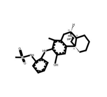 Cc1c2c(cc(O)c1Nc1ccccc1NS(C)(=O)=O)[C@]13CCCC[C@@H]1[C@H](C2)NCC3